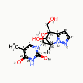 Cc1cn([C@@H]2O[C@]3(CO)c4ccnn4[C@H]2C3O)c(=O)[nH]c1=O